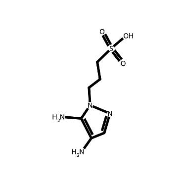 Nc1cnn(CCCS(=O)(=O)O)c1N